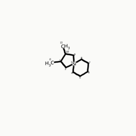 CC1C[Si]2(CCCCC2)CC1C